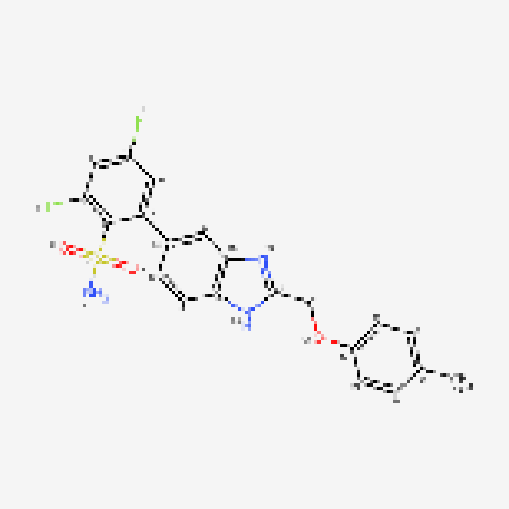 NS(=O)(=O)c1c(F)cc(F)cc1-c1ccc2[nH]c(COc3ccc(C(F)(F)F)cc3)nc2c1